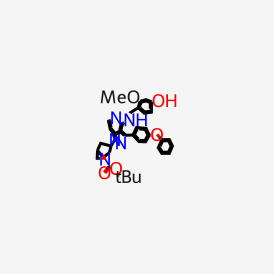 COc1cc(O)ccc1CNc1nccc2c1c(-c1ccc(Oc3ccccc3)cc1)nn2C1CC2CC1N(C(=O)OC(C)(C)C)C2